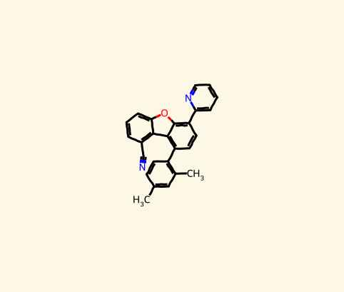 Cc1ccc(-c2ccc(-c3ccccn3)c3oc4cccc(C#N)c4c23)c(C)c1